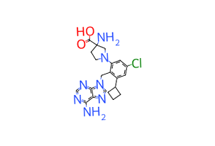 Nc1ncnc2c1ncn2Cc1c(C2CCC2)cc(Cl)cc1N1CCC(N)(C(=O)O)C1